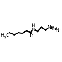 CCCCCCC(=O)NCCCN=[N+]=[N-]